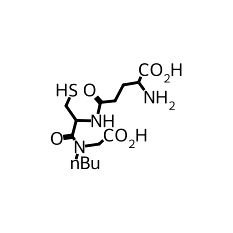 CCCCN(CC(=O)O)C(=O)C(CS)NC(=O)CCC(N)C(=O)O